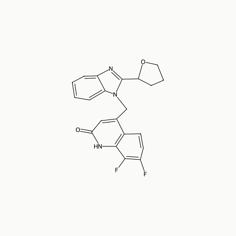 O=c1cc(Cn2c(C3CCCO3)nc3ccccc32)c2ccc(F)c(F)c2[nH]1